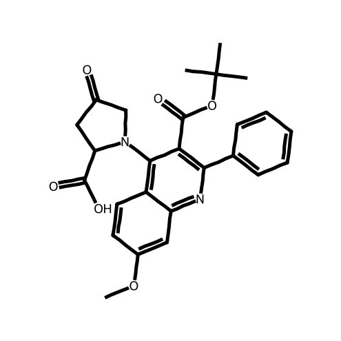 COc1ccc2c(N3CC(=O)CC3C(=O)O)c(C(=O)OC(C)(C)C)c(-c3ccccc3)nc2c1